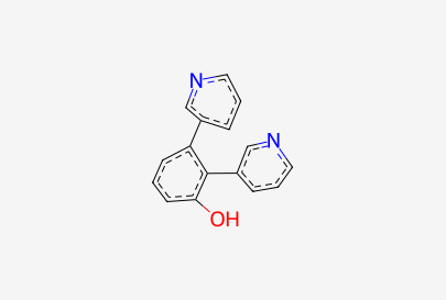 Oc1cccc(-c2cccnc2)c1-c1cccnc1